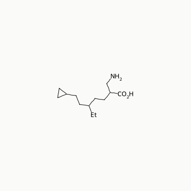 CCC(CCC1CC1)CCC(CN)C(=O)O